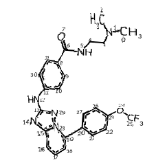 CN(C)CCNC(=O)c1ccc(Nc2nc3cccc(-c4ccc(OC(F)(F)F)cc4)n3n2)cc1